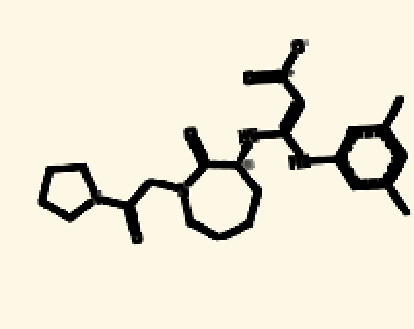 Cc1cc(C)cc(NC(=C[N+](=O)[O-])N[C@H]2CCCCN(CC(=O)N3CCCC3)C2=O)c1